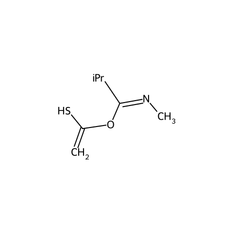 C=C(S)O/C(=N\C)C(C)C